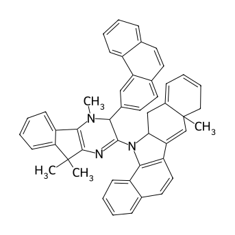 CN1C2=C(N=C(N3c4c(ccc5ccccc45)C4=CC5(C)CC=CC=C5CC43)C1c1ccc3ccc4ccccc4c3c1)C(C)(C)c1ccccc12